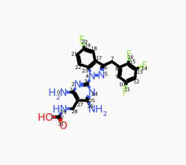 Nc1nc(-n2nc(Cc3cc(F)cc(F)c3F)c3cc(F)ccc32)nc(N)c1CNC(=O)O